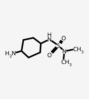 CN(C)S(=O)(=O)NC1CCC(N)CC1